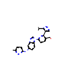 Cc1ccc(Nc2ccc3c(c2)ncn3-c2ccc(CO)c(-c3c[nH]nc3C(C)C(F)(F)F)n2)nn1